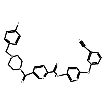 N#Cc1cccc(Oc2ccc(NC(=O)c3ccc(C(=O)N4CCN(Cc5ccc(F)cc5)CC4)cn3)cn2)c1